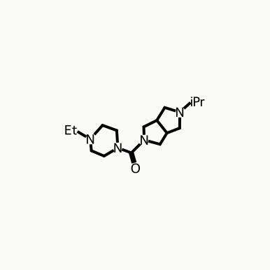 CCN1CCN(C(=O)N2CC3CN(C(C)C)CC3C2)CC1